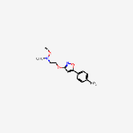 CC(C)(C)ON(C=O)CCOc1cc(-c2ccc([N+](=O)[O-])cc2)on1